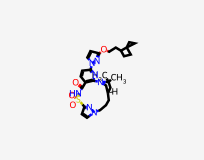 CC1(C)C[C@H]2CCCn3ccc(n3)S(=O)(=O)NC(=O)c3ccc(-n4ccc(OCCC5CCC56CC6)n4)nc3N1C2